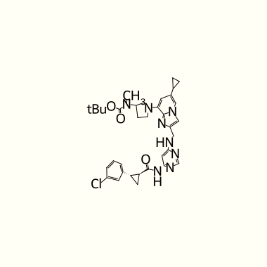 CN(C(=O)OC(C)(C)C)C1CCN(c2cc(C3CC3)cn3cc(CNc4cc(NC(=O)[C@H]5C[C@@H]5c5cccc(Cl)c5)ncn4)nc23)C1